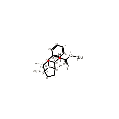 C[C@@H]1C[C@@H](NC(=O)OC(C)(C)C)[C@H]2CC[C@@H]1N2Cc1ccccc1